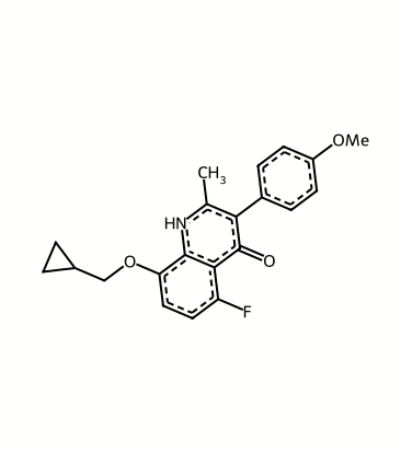 COc1ccc(-c2c(C)[nH]c3c(OCC4CC4)ccc(F)c3c2=O)cc1